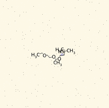 CCOCCOC(C)O/C=C/[SiH](C)C